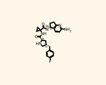 Nc1ccc2c(n1)CC[C@H]2NC(=O)C1(NC(=O)[C@H]2C[C@H](Cc3ccc(F)cc3)CN2)CC1